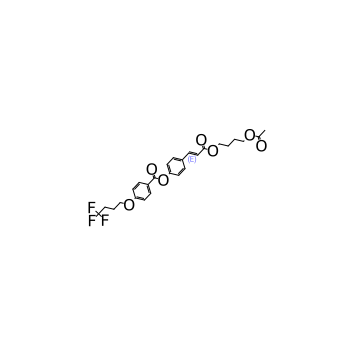 CC(=O)OCCCCOC(=O)/C=C/c1ccc(OC(=O)c2ccc(OCCCC(F)(F)F)cc2)cc1